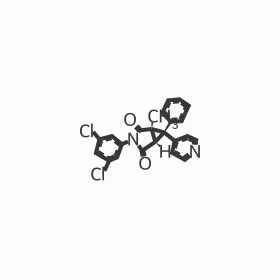 C[C@@]12C(=O)N(c3cc(Cl)cc(Cl)c3)C(=O)[C@@H]1[C@@]2(c1ccccc1)c1ccncc1